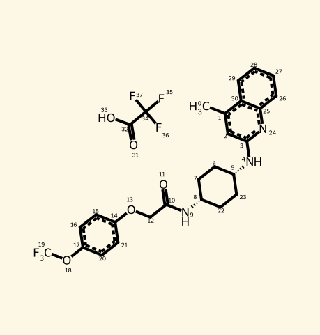 Cc1cc(N[C@H]2CC[C@@H](NC(=O)COc3ccc(OC(F)(F)F)cc3)CC2)nc2ccccc12.O=C(O)C(F)(F)F